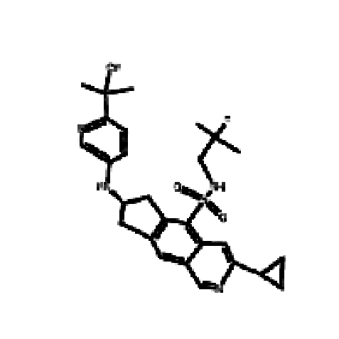 CC(C)(F)CNS(=O)(=O)c1c2c(cc3cnc(C4CC4)cc13)C[C@@H](Nc1ccc(C(C)(C)O)nc1)C2